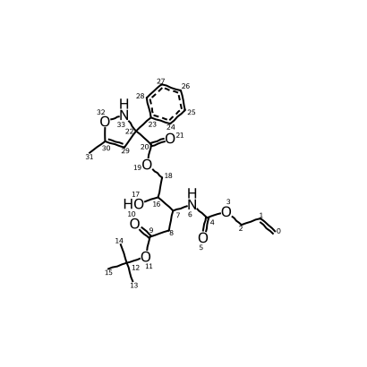 C=CCOC(=O)NC(CC(=O)OC(C)(C)C)C(O)COC(=O)C1(c2ccccc2)C=C(C)ON1